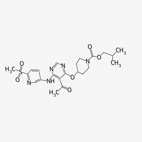 CC(=O)c1c(Nc2ccc(S(C)(=O)=O)nc2)ncnc1OC1CCN(C(=O)OCC(C)C)CC1